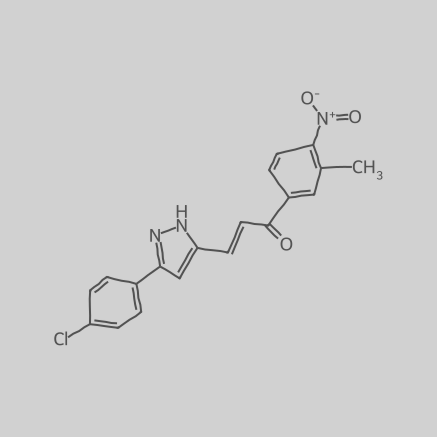 Cc1cc(C(=O)/C=C/c2cc(-c3ccc(Cl)cc3)n[nH]2)ccc1[N+](=O)[O-]